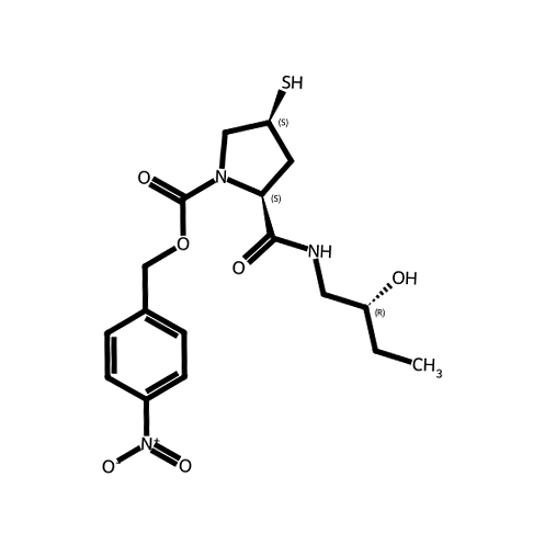 CC[C@@H](O)CNC(=O)[C@@H]1C[C@H](S)CN1C(=O)OCc1ccc([N+](=O)[O-])cc1